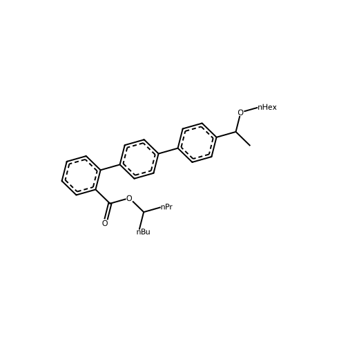 CCCCCCOC(C)c1ccc(-c2ccc(-c3ccccc3C(=O)OC(CCC)CCCC)cc2)cc1